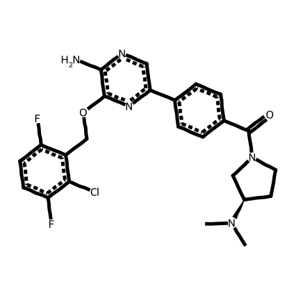 CN(C)[C@@H]1CCN(C(=O)c2ccc(-c3cnc(N)c(OCc4c(F)ccc(F)c4Cl)n3)cc2)C1